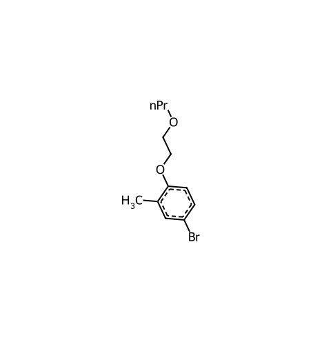 CCCOCCOc1ccc(Br)cc1C